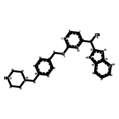 N#CC(c1ccnc(OCc2ccc(CN3CCNCC3)cc2)n1)c1nc2cccnc2s1